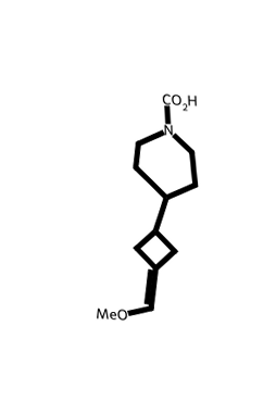 COC=C1CC(C2CCN(C(=O)O)CC2)C1